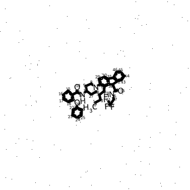 CCCCCc1c(N2CCC(NC(=O)c3ccccc3Oc3ccccc3)CC2)ccc2c1C(C(=O)NCC(F)(F)F)c1ccccc1-2